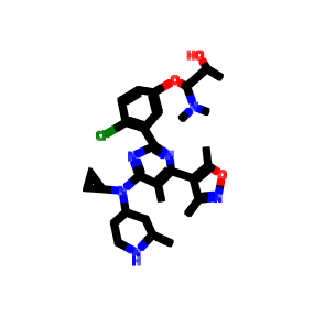 Cc1noc(C)c1-c1nc(-c2cc(OC(C(C)O)N(C)C)ccc2Cl)nc(N(C2CC2)C2CCNC(C)C2)c1C